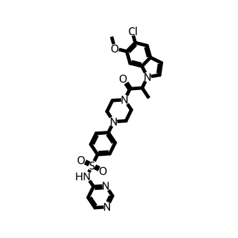 COc1cc2c(ccn2C(C)C(=O)N2CCN(c3ccc(S(=O)(=O)Nc4ccncn4)cc3)CC2)cc1Cl